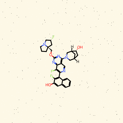 Oc1cc2ccccc2c(-c2ncc3c(N4C[C@@H]5C[C@H](C4)[C@H](O)C5)nc(OC[C@@]45CCCN4C[C@H](F)C5)nc3c2F)c1F